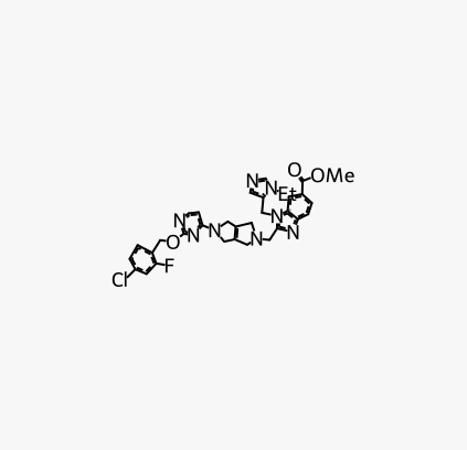 CCn1cncc1Cn1c(CN2CC3=C(C2)CN(c2ccnc(OCc4ccc(Cl)cc4F)n2)C3)nc2ccc(C(=O)OC)cc21